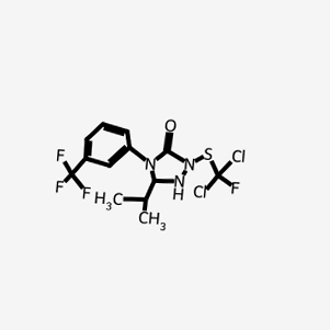 CC(C)C1NN(SC(F)(Cl)Cl)C(=O)N1c1cccc(C(F)(F)F)c1